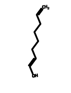 C=CCCCC/C=C/O